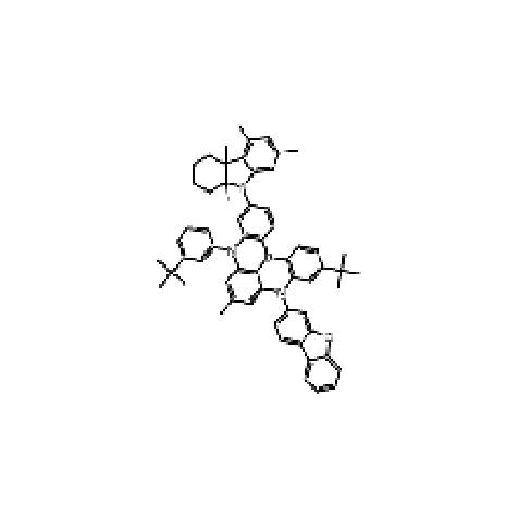 Cc1cc2c3c(c1)N(c1ccc4c(c1)oc1ccccc14)c1cc(C(C)(C)C)ccc1B3c1ccc(N3c4cc(C)cc(C)c4C4(C)CCCCC34C)cc1N2c1cccc(C(C)(C)C)c1